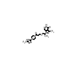 CC(COCCC(=O)N1CCN(c2nnc(C(F)(F)F)[nH]2)CC1)n1nc(C(F)(F)F)c2c(=O)[nH]ncc21